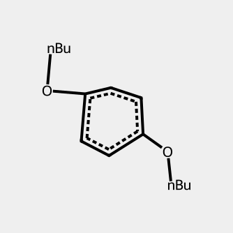 CCCCOc1ccc(OCCCC)cc1